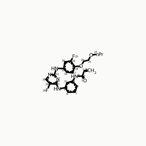 C=CC(=O)Nc1cccc(Nc2nc(Nc3ccc(OCCOCCC)c(F)c3)ncc2F)c1